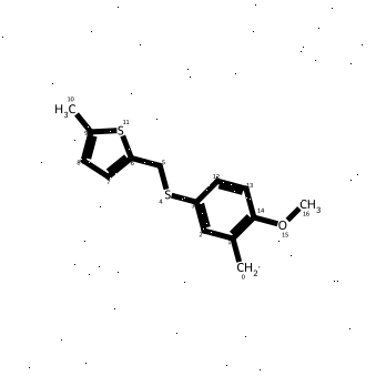 [CH2]c1cc(SCc2ccc(C)s2)ccc1OC